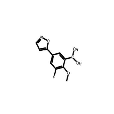 COc1c(F)cc(-c2ccno2)cc1B(O)O